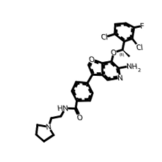 C[C@@H](Oc1c(N)ncc2c(-c3ccc(C(=O)NCCN4CCCC4)cc3)coc12)c1c(Cl)ccc(F)c1Cl